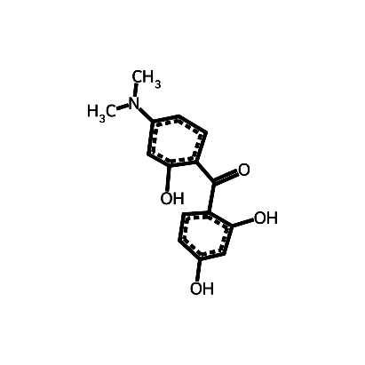 CN(C)c1ccc(C(=O)c2ccc(O)cc2O)c(O)c1